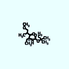 CC[C@H](NC(=O)OC(C)(C)C)C(=O)C(C)COC